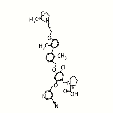 Cc1c(COc2cc(OCc3cncc(C#N)c3)c(CN3CCCC[C@H]3C(=O)O)cc2Cl)cccc1-c1cccc(OCCCN2CCO[C@@H](C)C2)c1C